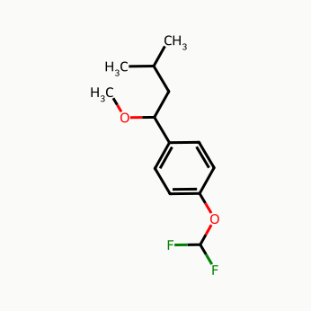 COC(CC(C)C)c1ccc(OC(F)F)cc1